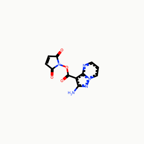 Nc1nn2cccnc2c1C(=O)ON1C(=O)C=CC1=O